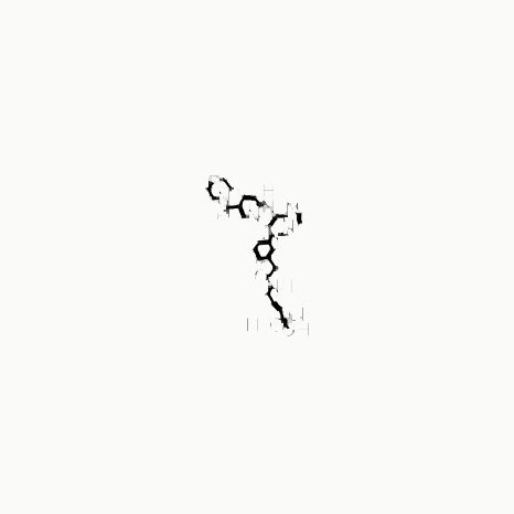 CC(O)(C#CCNC(=O)Cc1cccc(N2C=C(Nc3ccc(C(=O)N4CCOCC4)cn3)C3=NC=C[N+]3C2)c1)C(F)(F)F